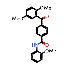 COc1ccc(OC)c(C(=O)c2ccc(C(=O)Nc3ccccc3OC)cc2)c1